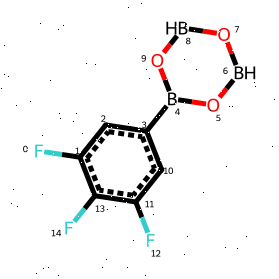 Fc1cc(B2OBOBO2)cc(F)c1F